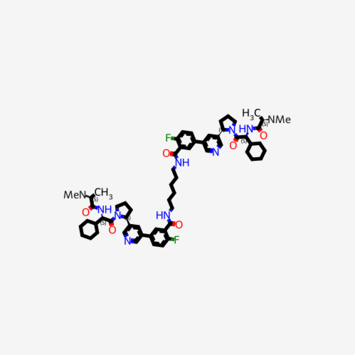 CN[C@@H](C)C(=O)N[C@H](C(=O)N1CCC[C@H]1c1cncc(-c2ccc(F)c(C(=O)NCCCCCCNC(=O)c3cc(-c4cncc([C@@H]5CCCN5C(=O)[C@@H](NC(=O)[C@H](C)NC)C5CCCCC5)c4)ccc3F)c2)c1)C1CCCCC1